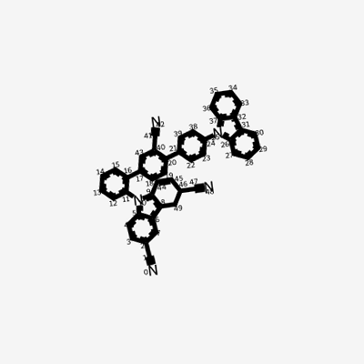 N#Cc1ccc2c(c1)c1c(n2-c2ccccc2-c2ccc(-c3ccc(-n4c5ccccc5c5ccccc54)cc3)c(C#N)c2)C=CC(C#N)C1